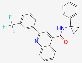 O=C(NC1(c2ccccc2)CC1)c1cc(-c2cccc(C(F)(F)F)c2)nc2ccccc12